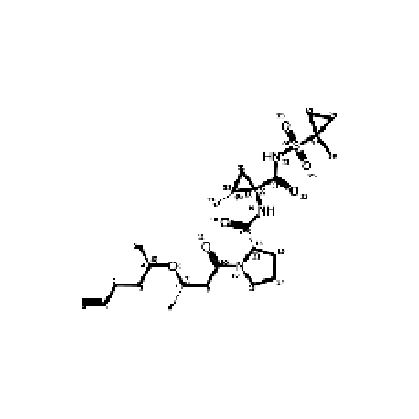 C=CCC[C@@H](C)O[C@@H](C)CC(=O)N1CCC[C@H]1C(=O)N[C@]1(C(=O)NS(=O)(=O)C2(C)CC2)C[C@H]1C